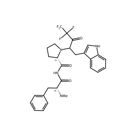 CN[C@H](Cc1ccccc1)C(=O)NC(=O)[C@@H]1CCCN1C(Cc1c[nH]c2ccccc12)C(=O)C(F)(F)C(F)(F)F